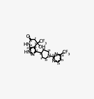 O=C1CC(O)(C(F)(F)F)c2c(C3CCN(c4nccc(C(F)(F)F)n4)CC3)n[nH]c2N1